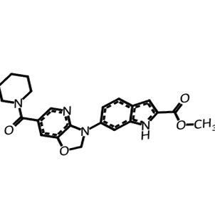 COC(=O)c1cc2ccc(N3COc4cc(C(=O)N5CCCCC5)cnc43)cc2[nH]1